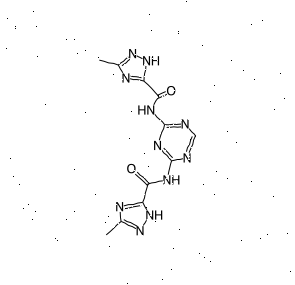 Cc1n[nH]c(C(=O)Nc2ncnc(NC(=O)c3nc(C)n[nH]3)n2)n1